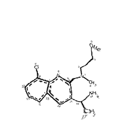 COCCN(C)c1nc2c(Cl)cccc2cc1C(C)N